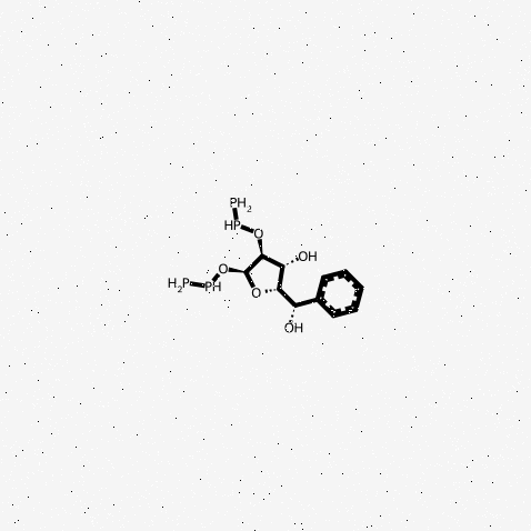 O[C@H]1[C@H](OPP)[C@H](OPP)O[C@H]1[C@@H](O)c1ccccc1